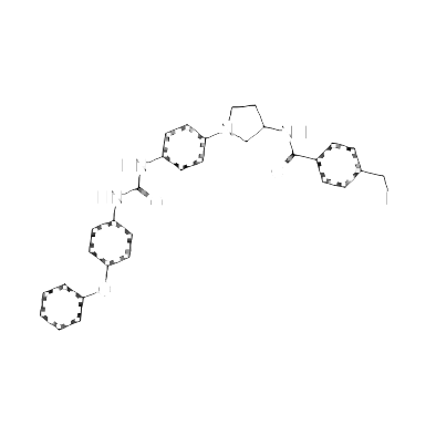 O=C(Nc1ccc(Oc2ccccc2)cc1)Nc1ccc(N2CCC(NC(=O)c3ccc(CF)cc3)C2)cc1